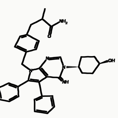 CC(Cc1ccc(Cn2c(-c3ccccc3)c(-c3ccccc3)c3c(=N)n([C@H]4CC[C@H](O)CC4)cnc32)cc1)C(N)=O